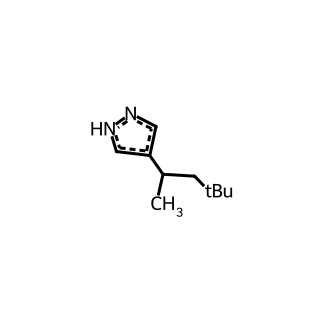 CC(CC(C)(C)C)c1cn[nH]c1